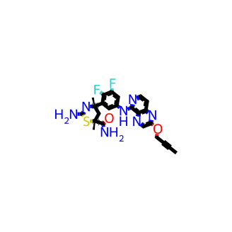 CC#CCOc1cnc2c(Nc3cc(F)c(F)c([C@]4(C)C[C@](C)(C(N)=O)SC(N)=N4)c3)nccc2n1